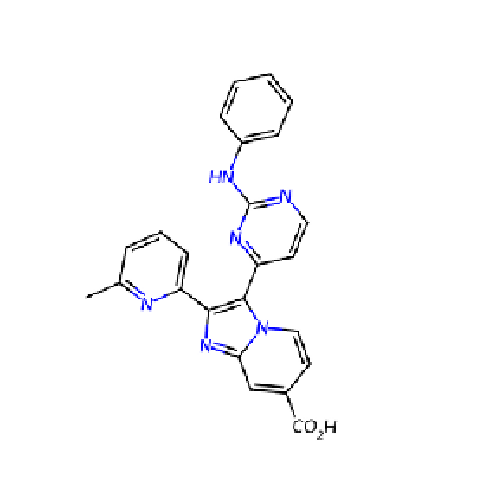 Cc1cccc(-c2nc3cc(C(=O)O)ccn3c2-c2ccnc(Nc3ccccc3)n2)n1